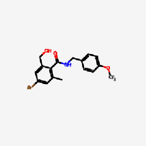 Cc1cc(Br)cc(CO)c1C(=O)NCc1ccc(OC(F)(F)F)cc1